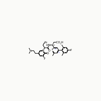 C=C(C)/C=C(\C=C(/F)[C@H](CC(=O)O)NC(=O)C(CC(C)C)n1cc(CCN(C)C)cc(F)c1=O)c1c(C)cc(F)cc1C